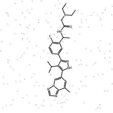 CCN(CC)CC(=O)NC(C)c1cc(-c2n[nH]c(-c3cc(C)c4ncnn4c3)c2C(C)C)ccc1F